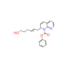 O=C(Oc1ccccc1)N1c2ncccc2C=CC1C/C=C/CCCO